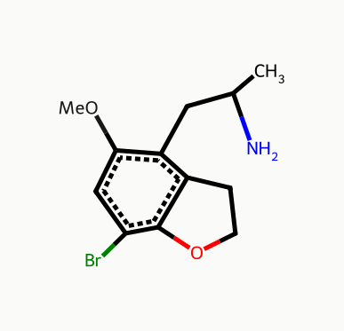 COc1cc(Br)c2c(c1CC(C)N)CCO2